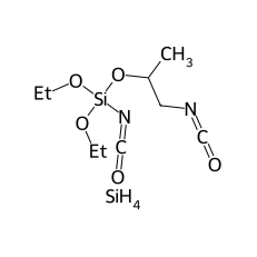 CCO[Si](N=C=O)(OCC)OC(C)CN=C=O.[SiH4]